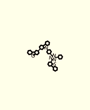 c1ccc(-c2nc(-c3ccc(-n4c5ccccc5c5ccc(-c6ccc7oc8ccccc8c7c6)cc54)cc3)nc(-c3cccc4c3sc3ccccc34)n2)cc1